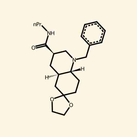 CCCNC(=O)[C@@H]1C[C@@H]2CC3(CC[C@H]2N(Cc2ccccc2)C1)OCCO3